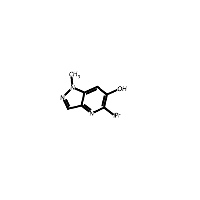 CC(C)c1nc2cnn(C)c2cc1O